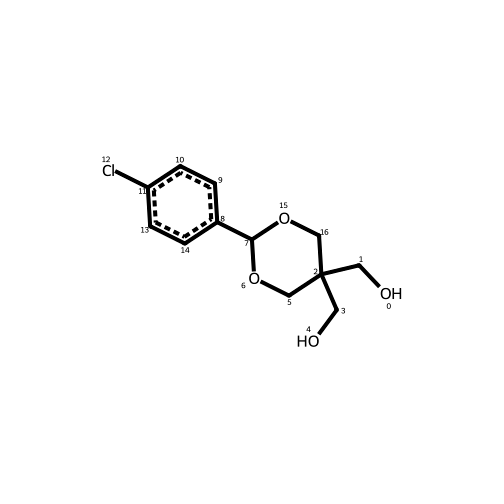 OCC1(CO)COC(c2ccc(Cl)cc2)OC1